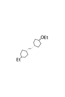 CCO[C@H]1CC[C@H](CC[C@H]2CC[C@H](CC)CC2)CC1